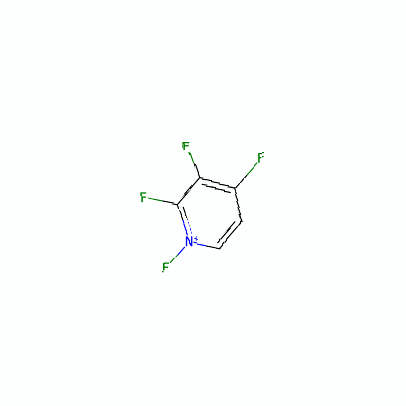 Fc1cc[n+](F)c(F)c1F